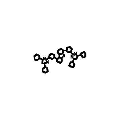 c1ccc(-c2cc(-c3ccccc3)nc(-c3cccc(-c4cccc5c4sc4cccc(-c6cccc(-c7nc(-c8ccccc8)cc(-c8ccccc8)n7)c6)c45)c3)n2)cc1